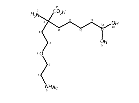 CC(=O)NCCOCCC(N)(CCCCB(O)O)C(=O)O